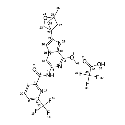 COc1nc(NC(=O)c2cccc(C(F)(F)F)n2)cn2cc(C34COC(C)(C3)C4)nc12.O=C(O)C(F)(F)F